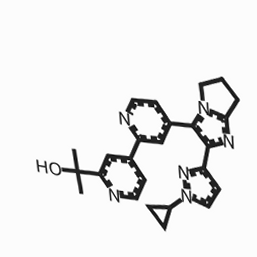 CC(C)(O)c1cc(-c2cc(-c3c(-c4ccn(C5CC5)n4)nc4n3CCC4)ccn2)ccn1